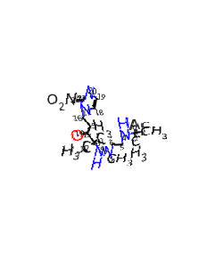 CC(=O)C(C)(C)NCCN(C)NC(C)(C)C(=O)CCn1ccnc1[N+](=O)[O-]